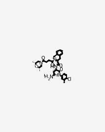 Cc1cc(NC(=O)C(CCN)NC(=O)C2Cc3ccccc3CN2C(=O)CCC(=O)N2C[C@@H](C)O[C@@H](C)C2)ccc1Cl